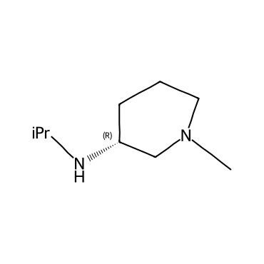 CC(C)N[C@@H]1CCCN(C)C1